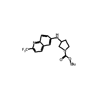 CC(C)(C)OC(=O)N1CCC(Nc2ccc3nc(C(F)(F)F)ccc3c2)C1